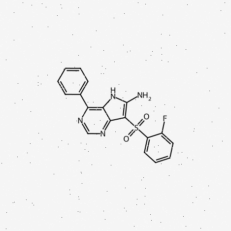 Nc1[nH]c2c(-c3ccccc3)ncnc2c1S(=O)(=O)c1ccccc1F